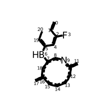 C=C/C(F)=C\C(Bc1cnc(=C)ccccc(=C)c1)=C/C